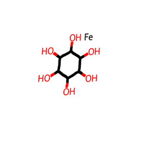 OC1C(O)C(O)C(O)C(O)C1O.[Fe]